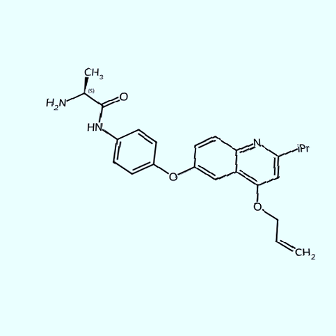 C=CCOc1cc(C(C)C)nc2ccc(Oc3ccc(NC(=O)[C@H](C)N)cc3)cc12